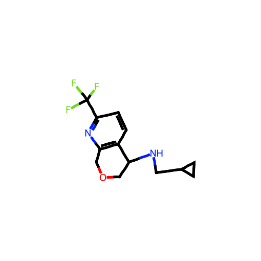 FC(F)(F)c1ccc2c(n1)COCC2NCC1CC1